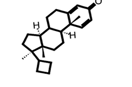 C[C@]12C=CC(=O)C=C1CCC1[C@@H]2CC[C@@]2(C)[C@H]1CC[C@]2(C)C1CCC1